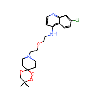 CC1(C)COC2(CCN(CCOCCNc3ccnc4cc(Cl)ccc34)CC2)OO1